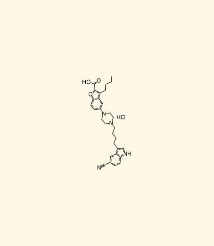 CCCCc1c(C(=O)O)oc2ccc(N3CCN(CCCCc4c[nH]c5ccc(C#N)cc45)CC3)cc12.Cl